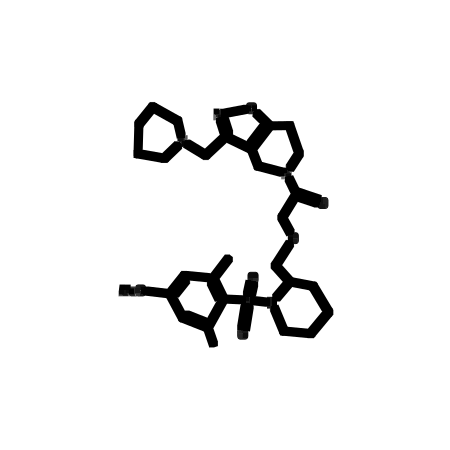 COc1cc(C)c(S(=O)(=O)N2CCCCC2COCC(=O)N2CCc3onc(CN4CCCCC4)c3C2)c(C)c1